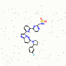 O=[SH](=O)NCc1nccc(-c2cccc(-c3cnc4ccc(N5CCCC5c5cccc(F)c5)nn34)n2)n1